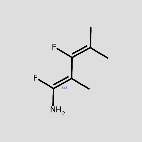 CC(C)=C(F)/C(C)=C(/N)F